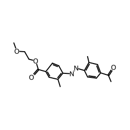 COCCOC(=O)c1ccc(N=Nc2ccc(C(C)=O)cc2C)c(C)c1